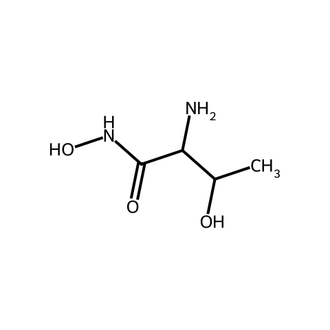 CC(O)C(N)C(=O)NO